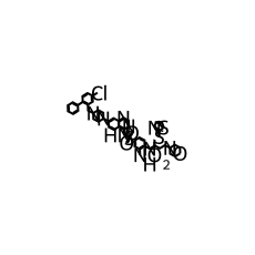 O=[N+]([O-])c1cc(S(=O)(=O)Nc2ncnc3cc(N4CCN(Cc5cc(Cl)ccc5-c5ccccc5)CC4)ccc23)ccc1NC(CCN1CCOCC1)CSc1nccs1